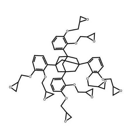 c1cc(OCC2CO2)c(OCC2CO2)c(C23CC4(c5cccc(OCC6CO6)c5OCC5CO5)CC(c5cccc(OCC6CO6)c5OCC5CO5)(C2)CC(c2cccc(OCC5CO5)c2OCC2CO2)(C3)C4)c1